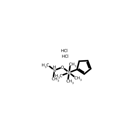 C[SiH](C)[O][Ti]([CH3])([CH3])([CH3])([CH3])[C]1=CC=CC1.Cl.Cl